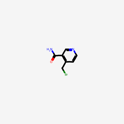 NC(=O)c1cnccc1CBr